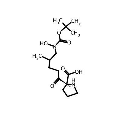 CC(CCC(=O)[C@]1(C(=O)O)CCCN1)CN(O)C(=O)OC(C)(C)C